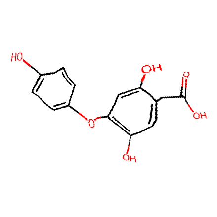 O=C(O)c1cc(O)c(Oc2ccc(O)cc2)cc1O